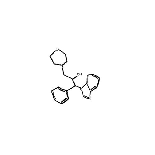 OC(CN1CCOCC1)C(c1ccccc1)n1ccc2ccccc21